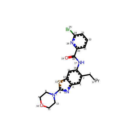 CC(C)Cc1cc2nc(N3CCOCC3)sc2cc1NC(=O)c1cccc(Br)n1